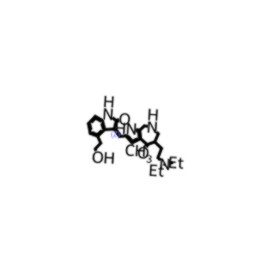 CCN(CC)CCC1CNCc2[nH]c(/C=C3\C(=O)Nc4cccc(CCO)c43)c(C)c2C1=O